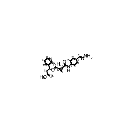 NN=Cc1ccc(NC(=O)C2CC2C(=O)Nc2ncccc2CCC(=O)O)cc1